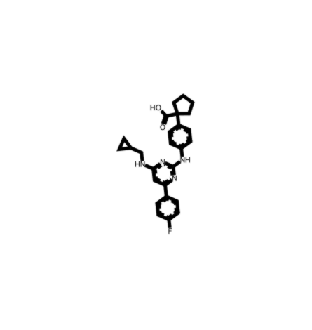 O=C(O)C1(c2ccc(Nc3nc(NCC4CC4)cc(-c4ccc(F)cc4)n3)cc2)CCCC1